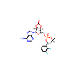 CC1(C)C[C@@H](c2cccc(F)c2F)OP(=O)(OC[C@H]2O[C@@H](n3cnc4c(N)ncnc43)[C@@H]3OC(=O)O[C@@H]32)O1